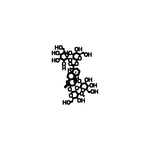 C=C1C[C@@]23CC[C@H]4[C@@](C)(CCC[C@@]4(C)C(=O)OC4O[C@H](CO)[C@@H](O)[C@H](O)[C@H]4O[C@@H]4O[C@H](CO)[C@@H](O)[C@H](O)[C@H]4O)[C@@H]2CC[C@]1(O[C@@H]1O[C@H](CO)[C@@H](O)[C@H](OC)[C@H]1O[C@@H]1O[C@H](CO)[C@@H](O)[C@H](O)[C@H]1O)C3